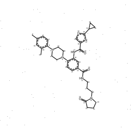 Cc1ccc(N2CCN(c3ccc(C(=O)NCCCN4CCCC4=O)cc3NC(=O)c3coc(C4CC4)n3)CC2)c(C)c1